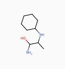 CC(NC1CCCCC1)C(N)O